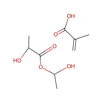 C=C(C)C(=O)O.CC(O)OC(=O)C(C)O